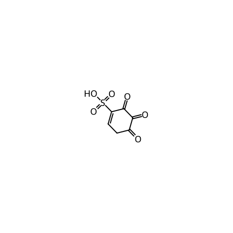 O=C1CC=C(S(=O)(=O)O)C(=O)C1=O